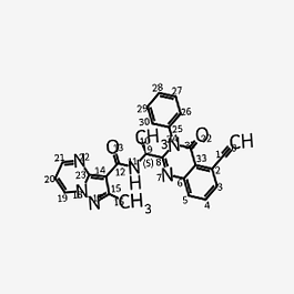 C#Cc1cccc2nc([C@H](C)NC(=O)c3c(C)nn4cccnc34)n(-c3ccccc3)c(=O)c12